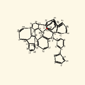 c1ccc(-c2cccc(N(c3cccc4c3-n3c5ccccc5c5cccc(c53)C43c4ccccc4-c4ccccc43)c3cccc4ccccc34)c2)cc1